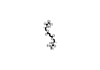 CCN(CC)C(=O)N[C@@H](C)COC(=O)/C=C/C(=O)OC[C@H](C)NC(=O)N(CC)CC